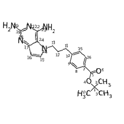 CC(C)(C)OC(=O)c1ccc(CCCn2ccc3nc(N)nc(N)c32)cc1